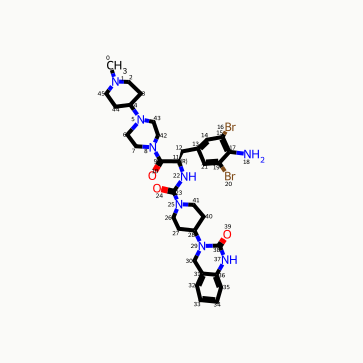 CN1CCC(N2CCN(C(=O)[C@@H](Cc3cc(Br)c(N)c(Br)c3)NC(=O)N3CCC(N4Cc5ccccc5NC4=O)CC3)CC2)CC1